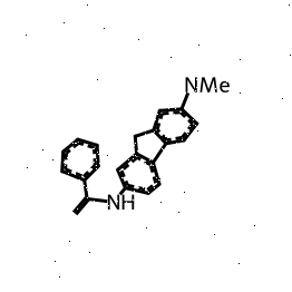 C=C(Nc1ccc2c(c1)Cc1cc(NC)ccc1-2)c1ccccc1